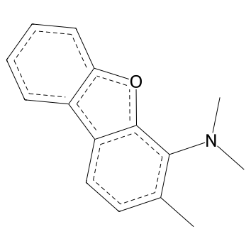 Cc1ccc2c(oc3ccccc32)c1N(C)C